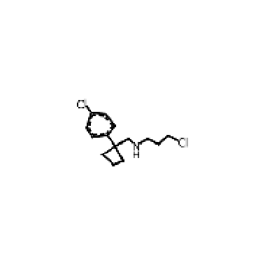 ClCCCNCC1(c2ccc(Cl)cc2)CCC1